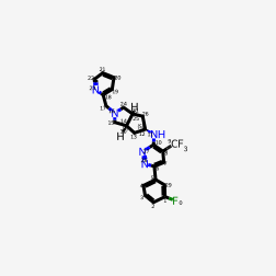 Fc1cccc(-c2cc(C(F)(F)F)c(N[C@H]3C[C@@H]4CN(Cc5ccccn5)C[C@@H]4C3)nn2)c1